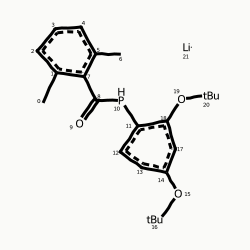 Cc1cccc(C)c1C(=O)Pc1ccc(OC(C)(C)C)cc1OC(C)(C)C.[Li]